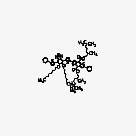 CCCCCCCCOc1c(OCCCCCCCC)c(-c2ccc(-c3cc4c(C(=O)OCCC(C)CCCC(C)C)c5sc(-c6ccccc6)cc5c(C(=O)OCCC(C)CCCC(C)C)c4s3)s2)c2nsnc2c1-c1ccc(-c2ccccc2)s1